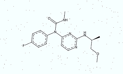 CNC(=O)N(c1ccc(F)cc1)c1ccnc(N[C@@H](C)COC)n1